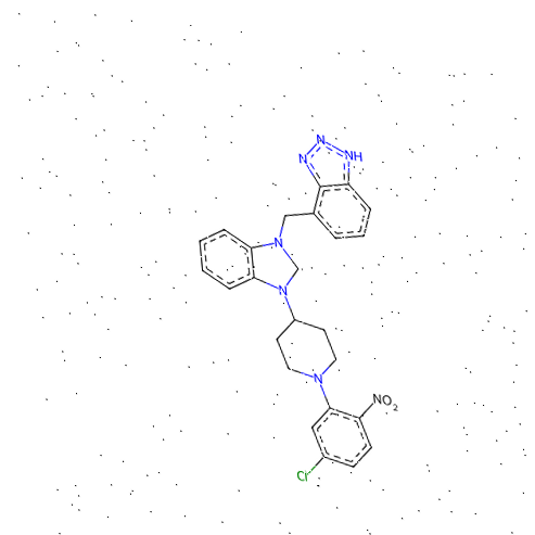 O=[N+]([O-])c1ccc(Cl)cc1N1CCC(N2[CH]N(Cc3cccc4[nH]nnc34)c3ccccc32)CC1